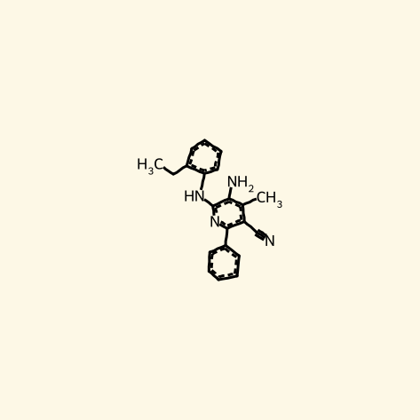 CCc1ccccc1Nc1nc(-c2ccccc2)c(C#N)c(C)c1N